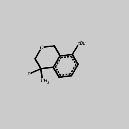 CC(C)(C)c1cccc2c1COCC2(C)F